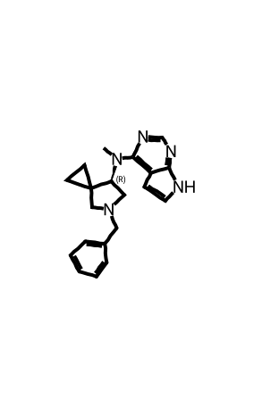 CN(c1ncnc2[nH]ccc12)[C@H]1CN(Cc2ccccc2)CC12CC2